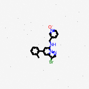 Cc1ccccc1-c1cc(NCc2ccc[n+]([O-])c2)n2ncc(Br)c2c1